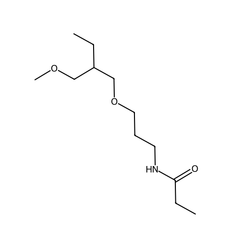 CCC(=O)NCCCOCC(CC)COC